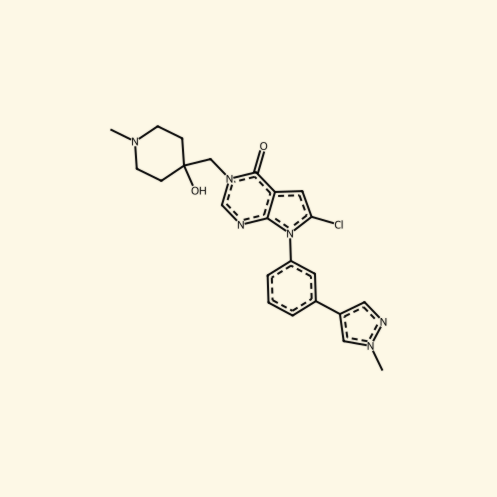 CN1CCC(O)(Cn2cnc3c(cc(Cl)n3-c3cccc(-c4cnn(C)c4)c3)c2=O)CC1